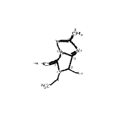 CCN1C(=O)n2nc(C)nc2C1I